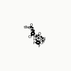 Cn1cnc(Cn2c(=O)nc(Nc3cc4cn(CC(=O)OC(C)(C)C)nc4cc3Cl)n(Cc3cc(Cl)c(F)cc3F)c2=O)n1